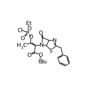 CCOP(=O)(Cl)OC(C)=C(C(=O)OC(C)(C)C)N1C(=O)C2N=C(Cc3ccccc3)SC21